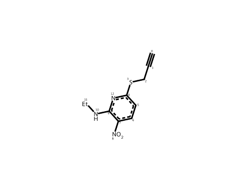 C#CCSc1ccc([N+](=O)[O-])c(NCC)n1